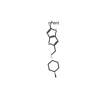 CCCCCc1cc2sc(CC[C@H]3CC[C@H](C)CC3)cc2s1